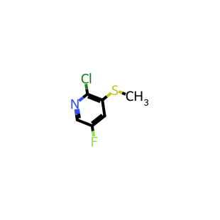 CSc1cc(F)cnc1Cl